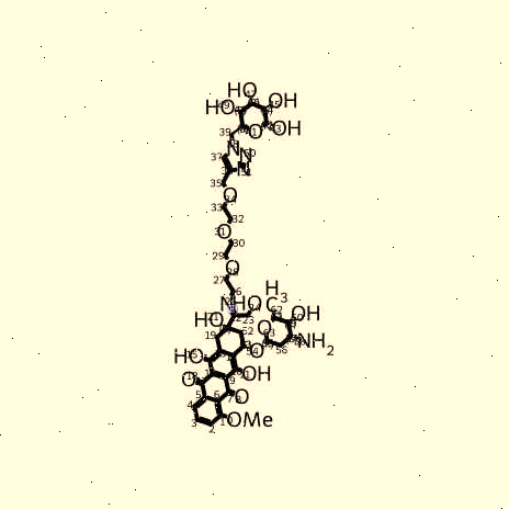 COc1cccc2c1C(=O)c1c(O)c3c(c(O)c1C2=O)C[C@@](O)(/C(CO)=N/CCOCCOCCOCc1cn(C[C@@H]2O[C@@H](O)[C@@H](O)[C@@H](O)[C@@H]2O)nn1)C[C@@H]3O[C@H]1C[C@H](N)[C@@H](O)[C@H](C)O1